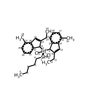 CCCCC[SiH]=[Hf]([Cl])([Cl])([CH]1C(CC)=Cc2c(C)cccc21)[CH]1C(CC)=Cc2c(C)cccc21